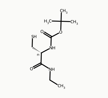 CCNC(=O)[C@H](CS)NC(=O)OC(C)(C)C